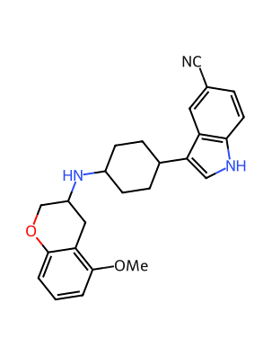 COc1cccc2c1CC(NC1CCC(c3c[nH]c4ccc(C#N)cc34)CC1)CO2